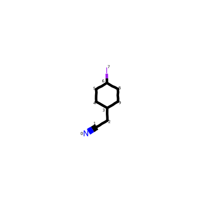 N#CCC1CCC(I)CC1